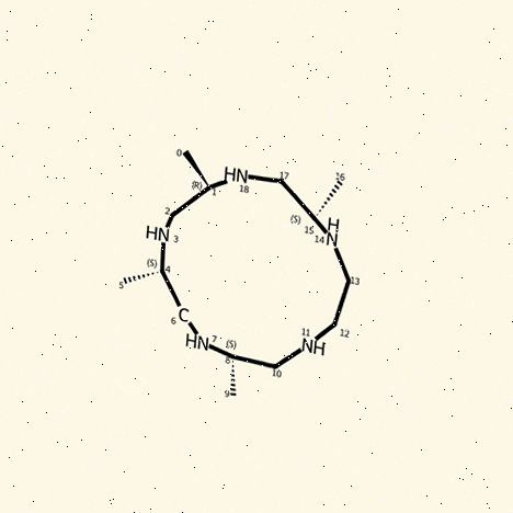 C[C@@H]1CN[C@@H](C)CN[C@@H](C)CNCCN[C@@H](C)CN1